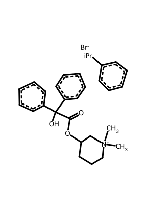 CC(C)c1ccccc1.C[N+]1(C)CCCC(OC(=O)C(O)(c2ccccc2)c2ccccc2)C1.[Br-]